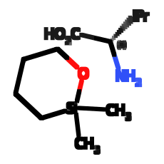 CC(C)[C@H](N)C(=O)O.C[Si]1(C)CCCCO1